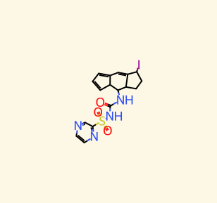 O=C(NC1C2C=CC=C2C=C2C(I)CCC21)NS(=O)(=O)c1cnccn1